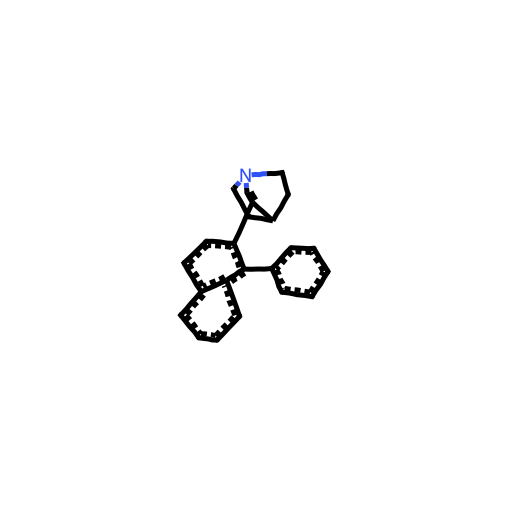 C1=C(c2ccc3ccccc3c2-c2ccccc2)C2CCN1CC2